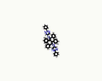 c1ccc(-c2ncc(-n3c(-c4ccccc4)c(-c4c(-c5ccccc5)n(-c5cnc(-c6ccccc6)nc5)c5ccccc45)c4ccccc43)cn2)cc1